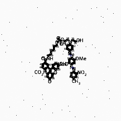 COc1cc(/N=N/c2ccc(C)cc2[N+](=O)[O-])c(OC)cc1/N=N/c1ccc(N(CCO)CCOP(C)(=O)OCCCCCCNC(=O)c2ccc(C(=O)O)c(-c3c4ccc(=O)cc-4oc4cc(O)ccc34)c2)cc1